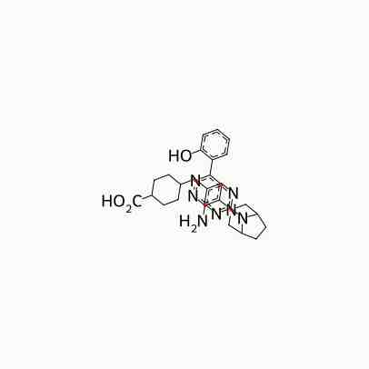 Nc1nnc(-c2ccccc2O)cc1N1CC2CCC(C1)N2c1ncc(CC2CCC(C(=O)O)CC2)cn1